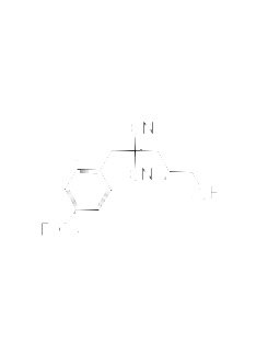 N#CC(C#N)(CCCC(F)(F)F)Cc1ccc(C(F)(F)F)cc1